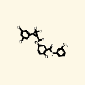 Nc1cccc(NC(=O)c2cc(NC(=O)C3C(c4cc(Cl)cc(Cl)c4)C3(Cl)Cl)ccc2Cl)c1